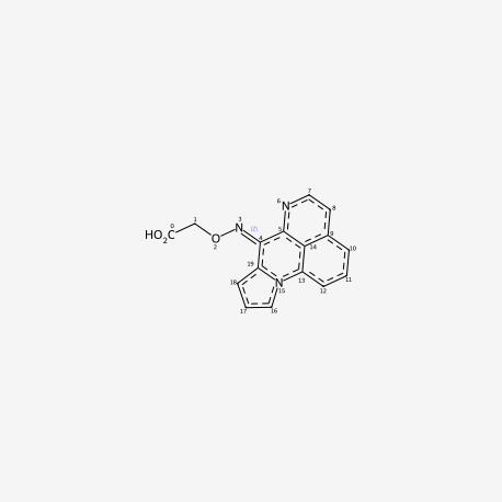 O=C(O)CO/N=c1/c2nccc3cccc(c32)n2cccc12